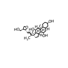 C[C@H](CC[C@H]1OC[C@@H]1CO)[C@H]1CC[C@H]2[C@@H]3[C@H](O)C[C@@H]4C[C@H](O)CC[C@]4(C)[C@H]3C[C@H](O)[C@]12C